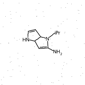 CC(C)N1C(N)=CC2NC=CC21